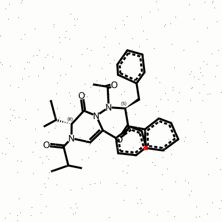 CC(=O)N([C@@H](Cc1ccccc1)C(=O)c1ccccc1)N1C(=O)[C@@H](C(C)C)N(C(=O)C(C)C)C=C1c1ccccc1